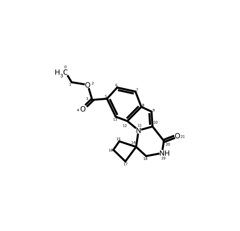 CCOC(=O)c1ccc2cc3n(c2c1)C1(CCC1)CNC3=O